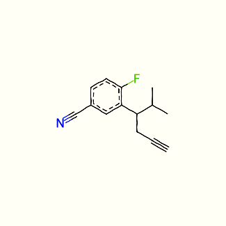 C#CCC(c1cc(C#N)ccc1F)C(C)C